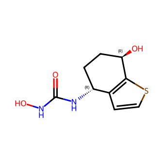 O=C(NO)N[C@@H]1CC[C@@H](O)c2sccc21